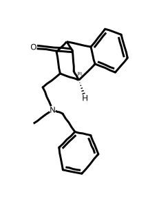 CN(Cc1ccccc1)CC1CC2C(=O)C[C@H]1c1ccccc12